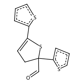 O=CC1(c2cccs2)CC=C(c2cccs2)S1